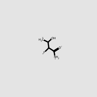 CC(O)C(F)C(N)=O